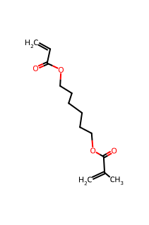 C=CC(=O)OCCCCCCOC(=O)C(=C)C